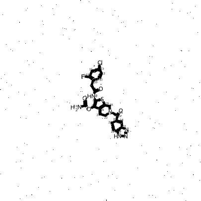 NC(=O)Oc1c(NC(=O)Cc2ccc(Cl)cc2F)sc2c1CCN(C(=O)c1ccc3[nH]nnc3c1)C2